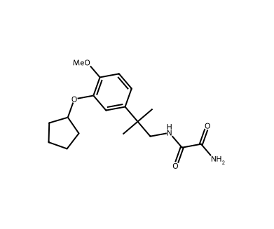 COc1ccc(C(C)(C)CNC(=O)C(N)=O)cc1OC1CCCC1